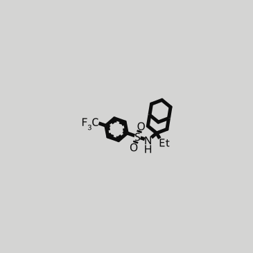 CCC1(NS(=O)(=O)c2ccc(C(F)(F)F)cc2)CC2CCCC(C2)C1